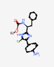 CC(C)(C)OC(=O)NC(Cc1ccccc1)c1nc(-c2ccc(N)cc2)c(Cl)[nH]1